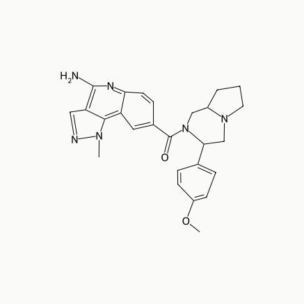 COc1ccc(C2CN3CCCC3CN2C(=O)c2ccc3nc(N)c4cnn(C)c4c3c2)cc1